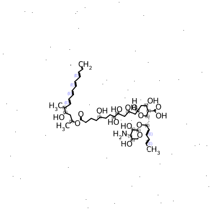 C=C/C=C/C=C/C=C/C=C/[C@H](C)[C@@H](O)C[C@H](C)OC(=O)CCC[C@H](O)CC[C@@H](O)[C@H](O)C[C@H](O)C[C@]1(O)C[C@H](O)[C@@H](C(=O)O)[C@H](C[C@H](/C=C/C=C/C)O[C@@H]2OC[C@@H](O)[C@H](N)[C@@H]2O)O1